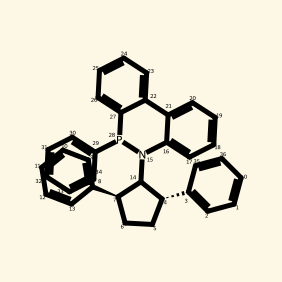 c1ccc([C@@H]2CC[C@@H](c3ccccc3)C2N2c3ccccc3-c3ccccc3P2c2ccccc2)cc1